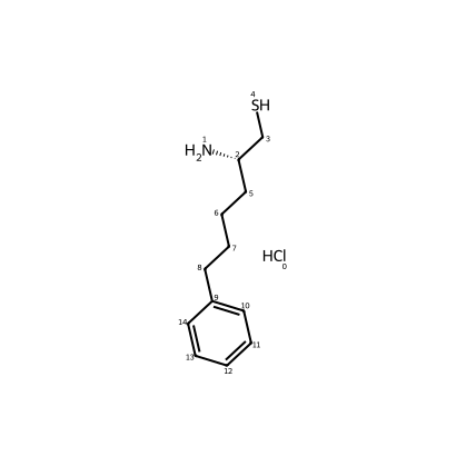 Cl.N[C@H](CS)CCCCc1ccccc1